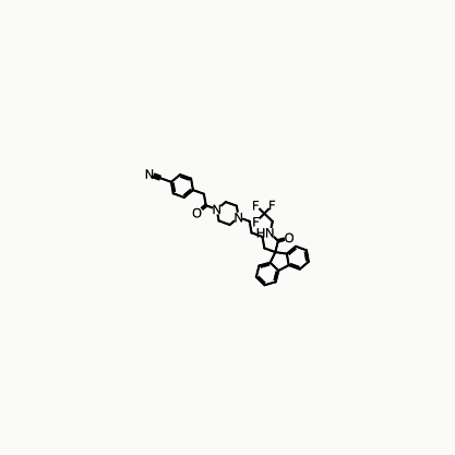 N#Cc1ccc(CC(=O)N2CCN(CCCCC3(C(=O)NCC(F)(F)F)c4ccccc4-c4ccccc43)CC2)cc1